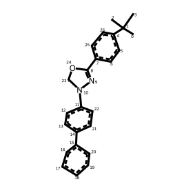 CC(C)(C)c1ccc(C2=NN(c3ccc(-c4ccccc4)cc3)[CH]O2)cc1